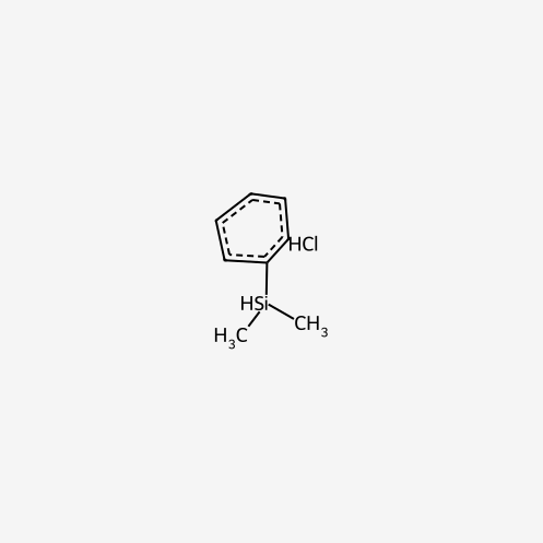 C[SiH](C)c1ccccc1.Cl